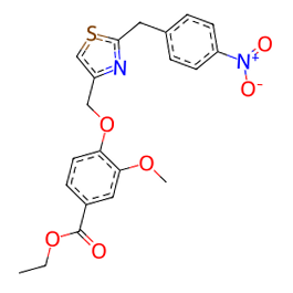 CCOC(=O)c1ccc(OCc2csc(Cc3ccc([N+](=O)[O-])cc3)n2)c(OC)c1